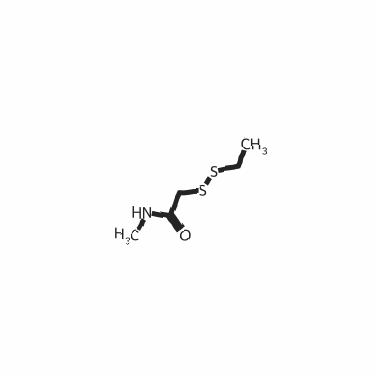 CCSSCC(=O)NC